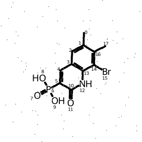 Cc1cc2cc(P(=O)(O)O)c(=O)[nH]c2c(Br)c1C